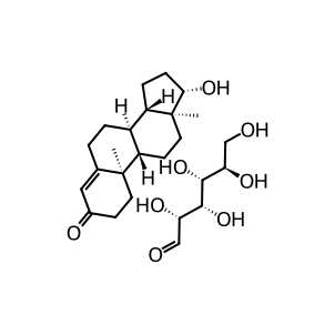 C[C@]12CC[C@H]3[C@@H](CCC4=CC(=O)CC[C@@]43C)[C@@H]1CC[C@@H]2O.O=C[C@H](O)[C@@H](O)[C@H](O)[C@H](O)CO